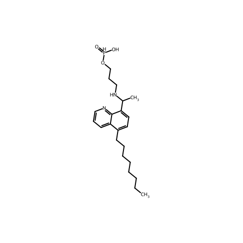 CCCCCCCCc1ccc(C(C)NCCCO[PH](=O)O)c2ncccc12